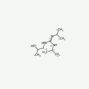 CC(O)CN/C(=N/C(C)C)NC(C)C